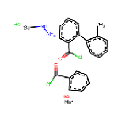 CC(C)(C)NN.Cc1ccccc1-c1ccccc1C(=O)Cl.Cl.O=C(Cl)c1ccccc1.[Na+].[OH-]